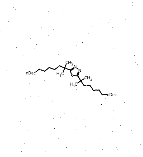 CCCCCCCCCCCCCCCC(C)(C)c1nnc(C(C)(C)CCCCCCCCCCCCCCC)s1